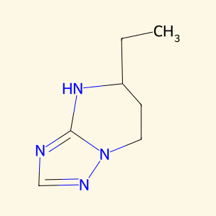 CCC1CCn2ncnc2N1